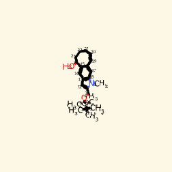 Cn1c(CO[Si](C)(C)C(C)(C)C)cc2cc3c(cc21)C=CCCCC3O